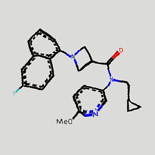 COc1ccc(N(CC2CC2)C(=O)C2CN(c3cccc4cc(F)ccc34)C2)cn1